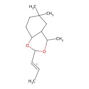 C/C=C/C1OC(C)C2CC(C)(C)CCC2O1